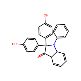 O=C1C2C=CC=CC2N(c2ccccc2)C1(c1ccc(O)cc1)c1ccc(O)cc1